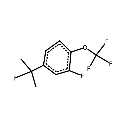 CC(C)(I)c1ccc(OC(F)(F)F)c(F)c1